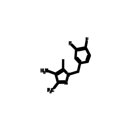 Cc1c(N)c(C(F)(F)F)nn1Cc1ccc(F)c(F)c1